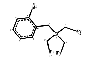 CC(C)C[Si](Cc1ccccc1S)(CC(C)C)CC(C)C